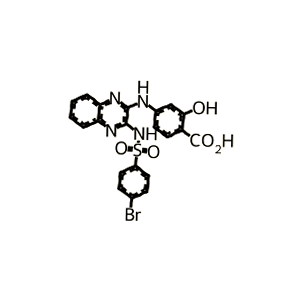 O=C(O)c1ccc(Nc2nc3ccccc3nc2NS(=O)(=O)c2ccc(Br)cc2)cc1O